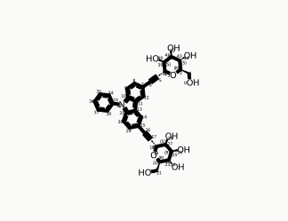 OC[C@H]1O[C@H](C#Cc2ccc3c(c2)c2cc(C#C[C@H]4O[C@H](CO)[C@@H](O)[C@H](O)[C@@H]4O)ccc2n3-c2ccccc2)[C@@H](O)[C@@H](O)[C@@H]1O